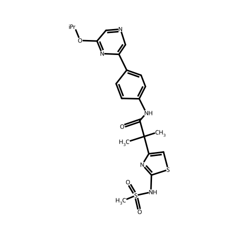 CC(C)Oc1cncc(-c2ccc(NC(=O)C(C)(C)c3csc(NS(C)(=O)=O)n3)cc2)n1